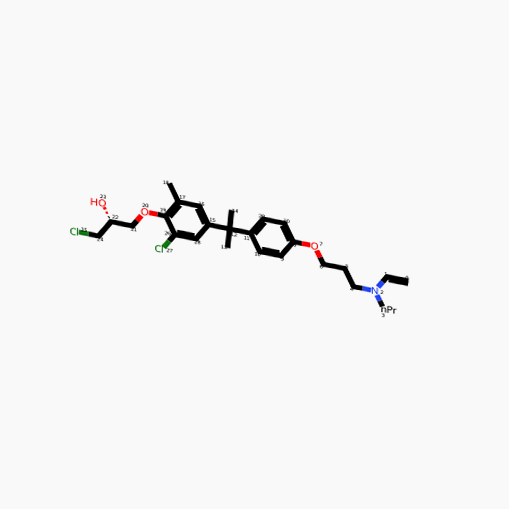 C=CN(CCC)CCCOc1ccc(C(C)(C)c2cc(C)c(OC[C@@H](O)CCl)c(Cl)c2)cc1